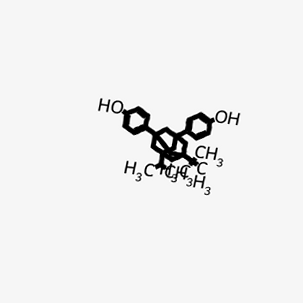 CC(C)C12CC3(c4ccc(O)cc4)CC(c4ccc(O)cc4)(C1)CC(C(C)(C)C)(C3)C2